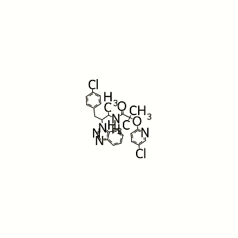 CC(NC(=O)C(C)(C)Oc1ccc(Cl)cn1)C(Cc1ccc(Cl)cc1)n1nnc2ccccc21